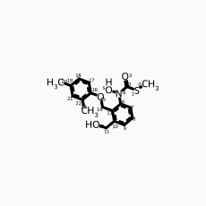 CSC(=O)N(O)c1cccc(CO)c1COc1ccc(C)cc1C